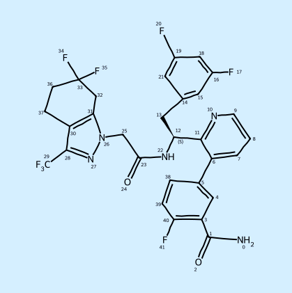 NC(=O)c1cc(-c2cccnc2[C@H](Cc2cc(F)cc(F)c2)NC(=O)Cn2nc(C(F)(F)F)c3c2CC(F)(F)CC3)ccc1F